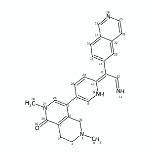 CN1CCc2c(c(C3=CN/C(=C(\C=N)c4ccc5cnccc5c4)C=C3)cn(C)c2=O)C1